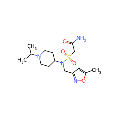 Cc1cc(CN(C2CCN(C(C)C)CC2)S(=O)(=O)CC(N)=O)no1